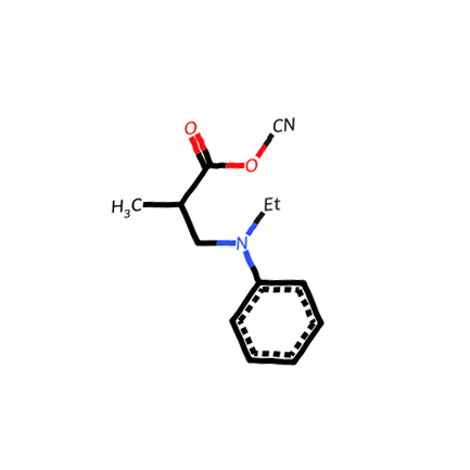 CCN(CC(C)C(=O)OC#N)c1ccccc1